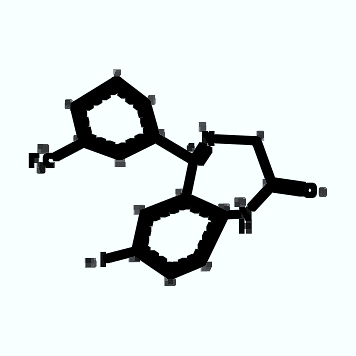 O=C1CN=C(c2cccc(C(F)(F)F)c2)c2cc(I)ccc2N1